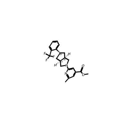 COC(=O)c1cc(C)nc(N2C[C@H]3C[C@@H](c4ccccc4C(F)(F)F)C[C@H]3C2)c1